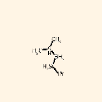 CC(C)[SiH2][SiH2][SiH](C)C